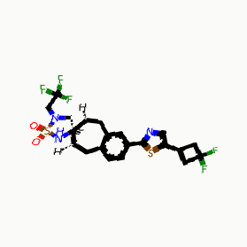 O=S1(=O)N[C@@]2(CN1CC(F)(F)F)[C@@H]1CC[C@H]2Cc2ccc(-c3ncc(C4CC(F)(F)C4)s3)cc2C1